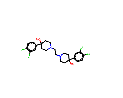 OC1(c2ccc(Cl)c(Cl)c2)CCN(CCN2CCC(O)(c3ccc(Cl)c(Cl)c3)CC2)CC1